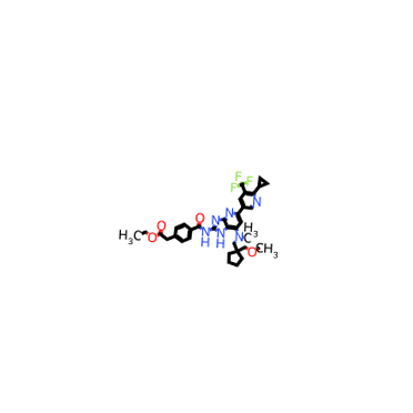 CCOC(=O)Cc1ccc(C(=O)Nc2nc3nc(-c4cnc(C5CC5)c(C(F)(F)F)c4)cc(N(C)CC4(COC)CCCC4)c3[nH]2)cc1